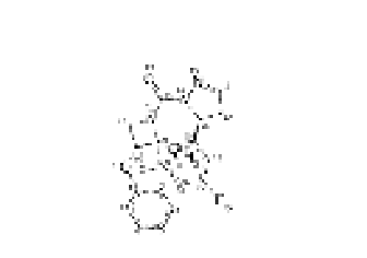 C[C@@H]1[C@H](Oc2ccccc2)CN1C(=O)N1N=CC[C@H]1c1cc(F)cc(F)c1